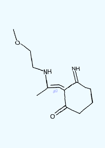 COCCN/C(C)=C1\C(=N)CCCC1=O